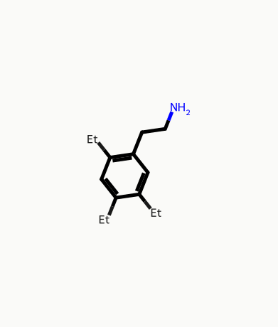 CCc1cc(CC)c(CCN)cc1CC